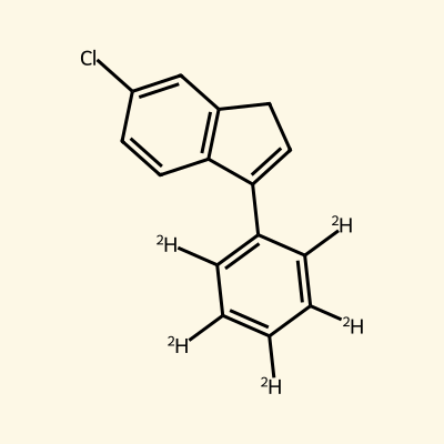 [2H]c1c([2H])c([2H])c(C2=CCc3cc(Cl)ccc32)c([2H])c1[2H]